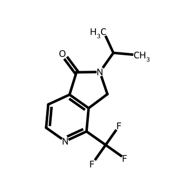 CC(C)N1Cc2c(ccnc2C(F)(F)F)C1=O